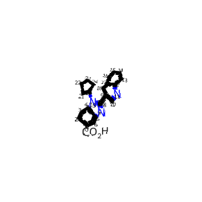 O=C(O)c1ccc2c(c1)nc(-c1cnc3ccccc3c1)n2C1CCCC1